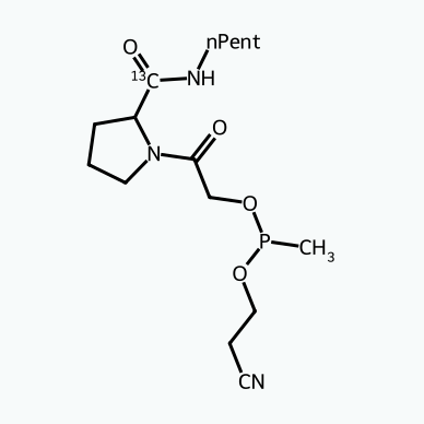 CCCCCN[13C](=O)C1CCCN1C(=O)COP(C)OCCC#N